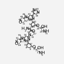 CNCC(O)COc1cccc(-c2nc(N3CCO[C@H](C(N)c4cc(OCC(O)CNC)cc(-c5nc(-c6cncnc6)cc(N(C)C6CCOCC6)n5)c4)C3)cc(N(C)C3CCOCC3)n2)c1